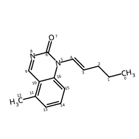 CCCC=Cn1c(=O)ncc2c(C)cccc21